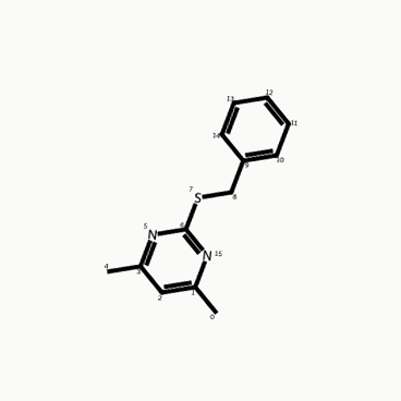 Cc1cc(C)nc(SCc2cc[c]cc2)n1